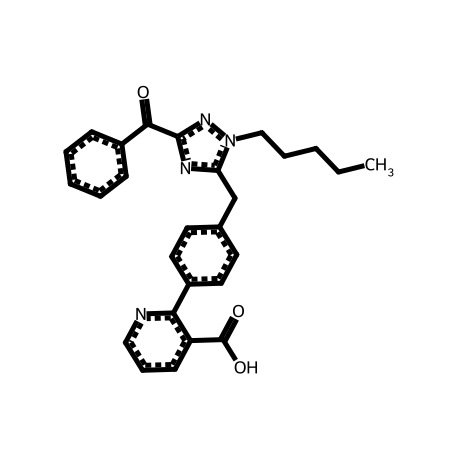 CCCCCn1nc(C(=O)c2ccccc2)nc1Cc1ccc(-c2ncccc2C(=O)O)cc1